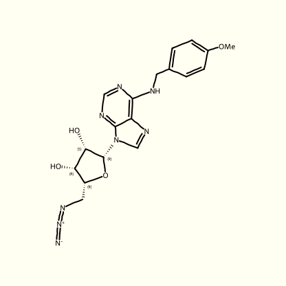 COc1ccc(CNc2ncnc3c2ncn3[C@@H]2O[C@H](CN=[N+]=[N-])[C@H](O)[C@@H]2O)cc1